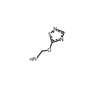 CCCCOc1n[c]ns1